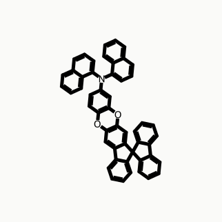 c1ccc2c(c1)-c1ccccc1C21c2ccccc2-c2cc3c(cc21)Oc1cc(N(c2cccc4ccccc24)c2cccc4ccccc24)ccc1O3